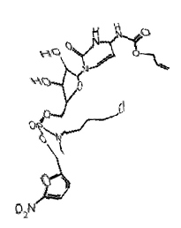 C=CCOC(=O)NC1C=CN(C2OC(COP(=O)(OCc3ccc([N+](=O)[O-])o3)N(C)CCCCCl)C(O)C2O)C(=O)N1